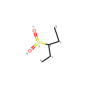 CCC(CC)[SH](=O)=O